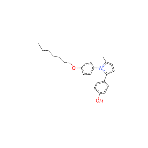 CCCCCCCOc1ccc(-n2c(C)ccc2-c2ccc(O)cc2)cc1